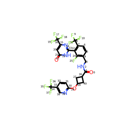 O=C(NCc1ccc(C(F)(F)F)c(-c2nc(C(F)(F)F)cc(=O)[nH]2)c1F)C1CC(Oc2ccc(C(F)(F)F)cn2)C1